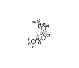 CC(C)C(=O)NC[C@@]1(O)C2C[C@@H](S(=O)(=O)c3cc(C(=O)Nc4cc(F)c(F)c(F)c4)ccc3Cl)C[C@@H]1[C@@H](C)C2